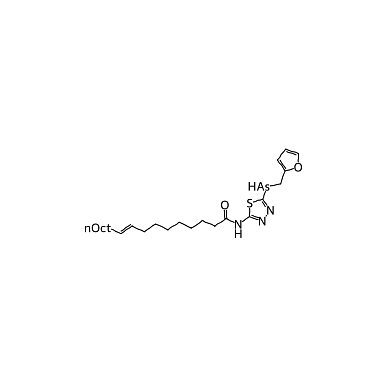 CCCCCCCC/C=C/CCCCCCCC(=O)Nc1nnc([AsH]Cc2ccco2)s1